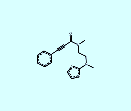 CN(CCN(C)c1nccs1)C(=O)C#Cc1ccccc1